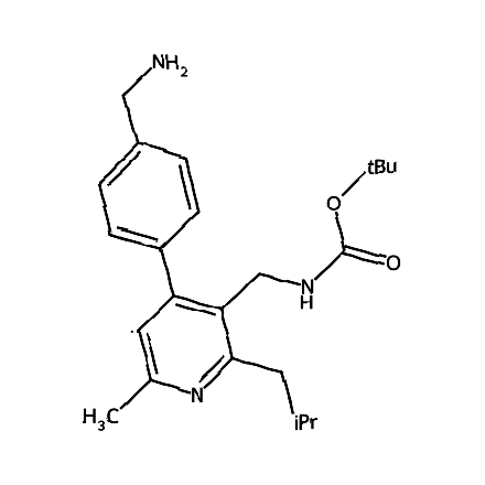 Cc1[c]c(-c2ccc(CN)cc2)c(CNC(=O)OC(C)(C)C)c(CC(C)C)n1